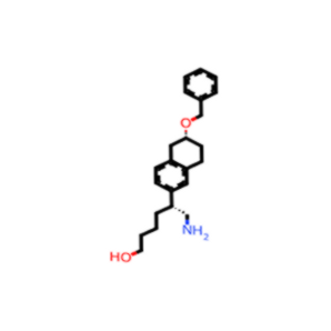 NC[C@H](CCCCO)c1ccc2c(c1)CC[C@@H](OCc1ccccc1)C2